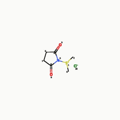 C[S+](C)N1C(=O)CCC1=O.[Cl-]